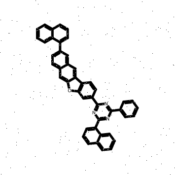 c1ccc(-c2nc(-c3ccc4c(c3)oc3cc5ccc(-c6cccc7ccccc67)cc5cc34)nc(-c3cccc4ccccc34)n2)cc1